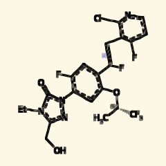 CCn1c(CO)nn(-c2cc(O[C@@H](C)C(F)(F)F)c(/C(F)=C/c3c(F)ccnc3Cl)cc2F)c1=O